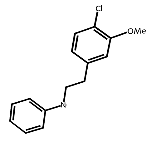 COc1cc(CC[N]c2ccccc2)ccc1Cl